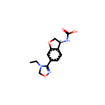 CCN1CON=C1c1ccc2c(c1)OC[C@H]2NC(=O)O